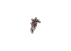 CC(=O)OC1C(OC(=O)c2ccccc2)[C@H](Oc2ccc3cc(OC(=O)c4ccccc4)ccc3c2)OC[C@H]1O[C@@H]1OC(COC(=O)c2ccccc2)[C@H](OC(=O)c2ccccc2)C(OC(=O)c2ccccc2)C1OC(=O)c1ccccc1